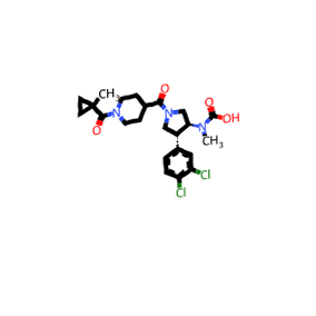 CN(C(=O)O)[C@@H]1CN(C(=O)C2CCN(C(=O)C3(C)CC3)CC2)C[C@H]1c1ccc(Cl)c(Cl)c1